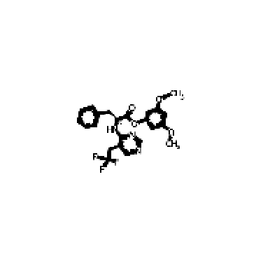 COc1cc(OC)cc(OC(=O)[C@H](Cc2ccccc2)Nc2ncncc2CC(F)(F)F)c1